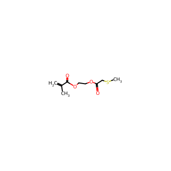 C=C(C)C(=O)OCCOC(=O)CSC